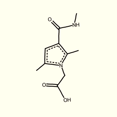 CNC(=O)c1cc(C)n(CC(=O)O)c1C